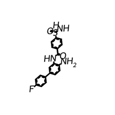 N=[SH](=O)c1ccc(C(=O)Nc2cc(-c3ccc(F)cc3)ccc2N)cc1